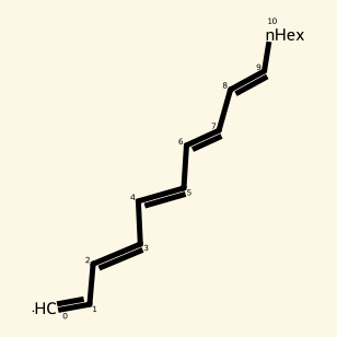 [CH]=CC=CC=CC=CC=CCCCCCC